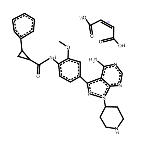 COc1cc(-c2nn(C3CCNCC3)c3ncnc(N)c23)ccc1NC(=O)C1CC1c1ccccc1.O=C(O)/C=C\C(=O)O